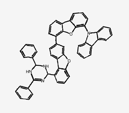 c1ccc(C2=NC(c3cccc4oc5cc(-c6cccc7c6oc6c(-n8c9ccccc9c9ccccc98)cccc67)ccc5c34)NC(c3ccccc3)N2)cc1